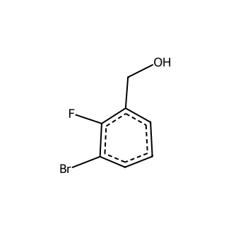 OCc1cccc(Br)c1F